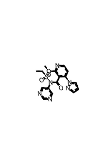 CCS(=O)(=O)N(C(=O)c1c(-n2cccn2)ccnc1OC)c1cncnc1